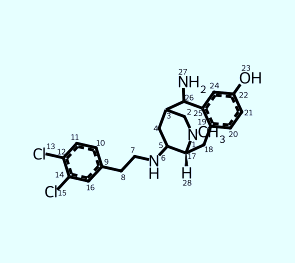 CN1CC2CC(NCCc3ccc(Cl)c(Cl)c3)[C@H]1Cc1ccc(O)cc1C2N